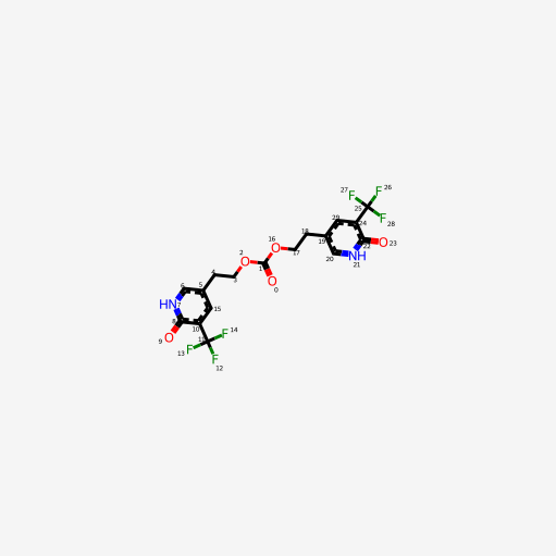 O=C(OCCc1c[nH]c(=O)c(C(F)(F)F)c1)OCCc1c[nH]c(=O)c(C(F)(F)F)c1